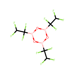 FC(F)C(F)(F)B1OB(C(F)(F)C(F)F)OB(C(F)(F)C(F)F)O1